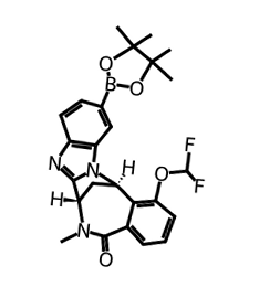 CN1C(=O)c2cccc(OC(F)F)c2[C@H]2C[C@H]1c1nc3ccc(B4OC(C)(C)C(C)(C)O4)cc3n12